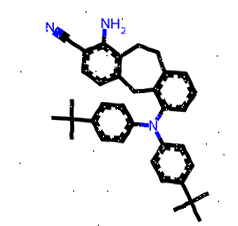 CC(C)(C)c1ccc(N(c2ccc(C(C)(C)C)cc2)c2cccc3c2Cc2ccc(C#N)c(N)c2CC3)cc1